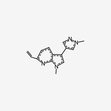 C=Cc1ccc2c(-c3cnn(C)c3)cn(C)c2n1